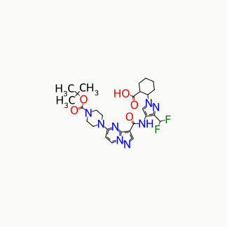 CC(C)(C)OC(=O)N1CCN(c2ccn3ncc(C(=O)Nc4cn(C5CCCCC5C(=O)O)nc4C(F)F)c3n2)CC1